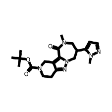 CN1CC(c2ccnn2C)Cn2nc3c(c2C1=O)CN(C(=O)OC(C)(C)C)CC3